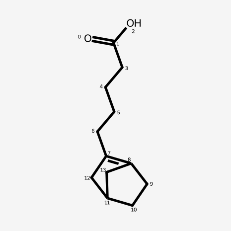 O=C(O)CCCCC1=C2CCC(C1)C2